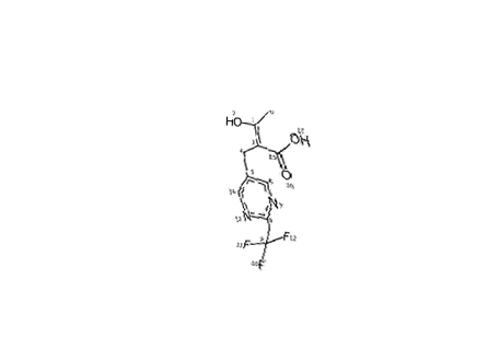 CC(O)=C(Cc1cnc(C(F)(F)F)nc1)C(=O)O